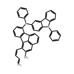 C=C/C=C\c1c(C)cc2cccc3c2c1-c1cccc(N(c2ccccc2)c2ccc4c(c2)c2ccccc2n4-c2ccccc2)c1-3